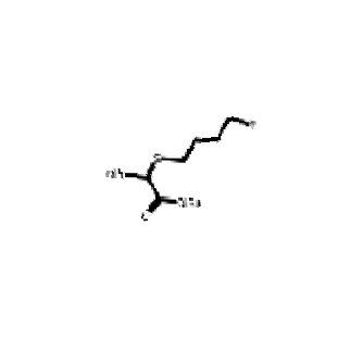 CCCC(SCCCCF)C(=O)OCC(C)C